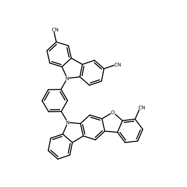 N#Cc1ccc2c(c1)c1cc(C#N)ccc1n2-c1cccc(-n2c3ccccc3c3cc4c(cc32)oc2c(C#N)cccc24)c1